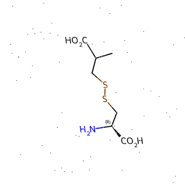 CC(CSSC[C@H](N)C(=O)O)C(=O)O